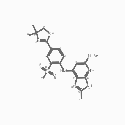 CC(=O)Nc1cc(Nc2ccc(C3=NC(C)(C)CS3)cc2S(C)(=O)=O)c2nc(C)[nH]c2n1